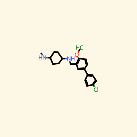 CNC1CCC(NCc2cc(-c3ccc(Cl)cc3)ccc2OC)CC1.Cl